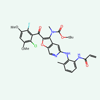 C=CC(=O)Nc1cccc(C)c1Nc1cc2c(N(C)C(=O)OC(C)(C)C)c(C(=O)c3c(F)c(OC)cc(OC)c3Cl)oc2cn1